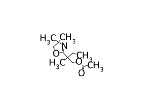 CCC(C)(COC(C)=O)C1=NC(C)(C)CO1